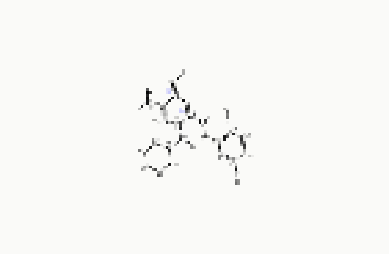 C/C=C(\C=C(\OCc1cc(F)ccc1F)N(N)C(C)C1CCCCC1)CNC